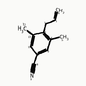 C=CCc1c(C)cc(C#N)cc1C